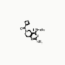 CCCCNc1nc(N)nc2c1CN(C(=O)C1CCC1)CC2